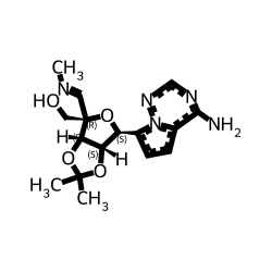 CN=C[C@]1(CO)O[C@@H](c2ccc3c(N)ncnn23)[C@@H]2OC(C)(C)O[C@@H]21